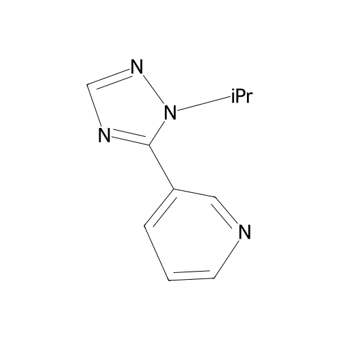 CC(C)n1ncnc1-c1cccnc1